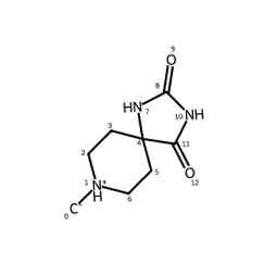 [CH2-][NH+]1CCC2(CC1)NC(=O)NC2=O